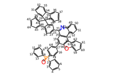 O=P(c1ccccc1)(c1ccccc1)c1ccc(-c2cc3c(-c4ccc5c(c4)C4(c6ccccc6-c6ccccc64)c4ccccc4-5)nc4ccccc4c3c3c2oc2ccccc23)cc1